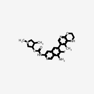 Cc1c(-c2cc3cc(NC(=O)OC4CN(C)CC4C)ncc3c(N)c2F)cnc2c1NCCO2